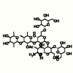 CCO[C@H]1OC(CO)[C@H](O[C@H]2OC(CO)[C@@H](O)[C@H](O)C2O)[C@H](O[C@@H]2OC(CO[C@H]3OC(CO)[C@@H](O)[C@H](O)C3O)[C@@H](O)[C@H](O[C@@H]3OC(C)[C@H](C)[C@H](O[C@@H]4OC(C)[C@H](O)[C@H](O)C4C)C3OC(C)=O)C2O)C1NC(C)C(N)=O